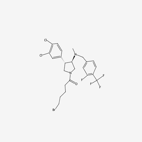 CN(Cc1ccc(C(F)(F)F)c(F)c1)[C@H]1CN(C(=O)CCCCBr)C[C@@H]1c1ccc(Cl)c(Cl)c1